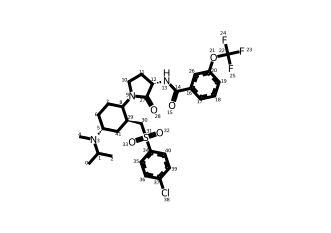 CC(C)N(C)[C@@H]1CCC(N2CC[C@H](NC(=O)c3cccc(OC(F)(F)F)c3)C2=O)[C@@H](CS(=O)(=O)c2ccc(Cl)cc2)C1